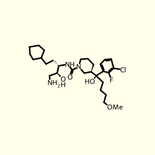 COCCCC[C@@](O)(c1cccc(Cl)c1F)[C@@H]1CCCN(C(=O)N[C@@H](CCC2CCCCC2)[C@@H](O)CN)C1